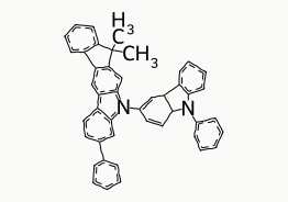 CC1(C)c2ccccc2-c2cc3c4ccc(-c5ccccc5)cc4n(C4=CC5c6ccccc6N(c6ccccc6)C5C=C4)c3cc21